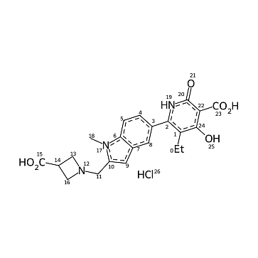 CCc1c(-c2ccc3c(c2)cc(CN2CC(C(=O)O)C2)n3C)[nH]c(=O)c(C(=O)O)c1O.Cl